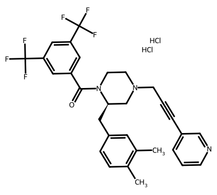 Cc1ccc(C[C@@H]2CN(CC#Cc3cccnc3)CCN2C(=O)c2cc(C(F)(F)F)cc(C(F)(F)F)c2)cc1C.Cl.Cl